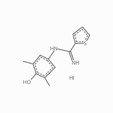 Cc1cc(NC(=N)c2cccs2)cc(C)c1O.I